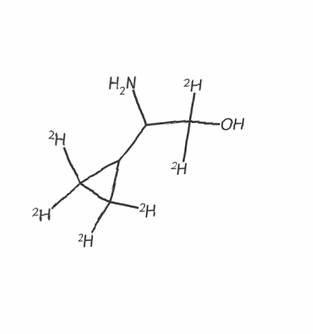 [2H]C([2H])(O)C(N)C1C([2H])([2H])C1([2H])[2H]